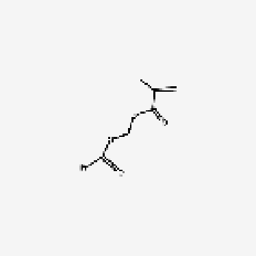 C=C(C)C(=O)OCOC(=O)C(C)C